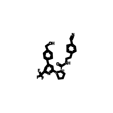 N#Cc1ccc(CCNC(=O)[C@@H]2CCCN2c2cc(-c3ccc(CO)cc3)cc(C(F)(F)F)n2)cc1